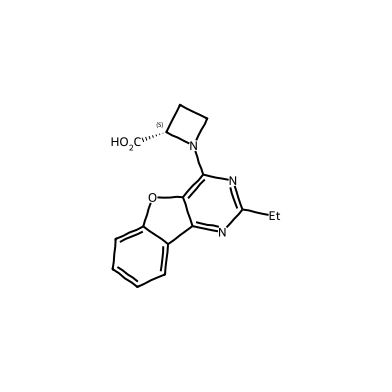 CCc1nc(N2CC[C@H]2C(=O)O)c2oc3ccccc3c2n1